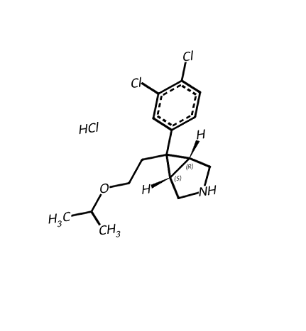 CC(C)OCCC1(c2ccc(Cl)c(Cl)c2)[C@@H]2CNC[C@@H]21.Cl